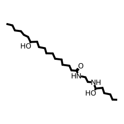 CCCCCCC(O)CCCCCCCCCCC(=O)NCCNC(O)CCCCC